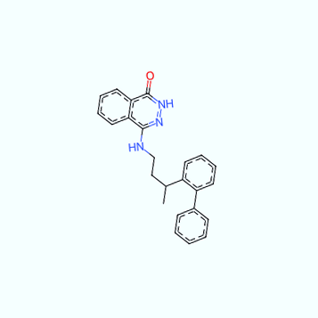 CC(CCNc1n[nH]c(=O)c2ccccc12)c1ccccc1-c1ccccc1